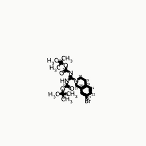 CC(C)(C)OC(=O)/N=C(\NC(=O)OC(C)(C)C)N1CCc2ccc(Br)cc2C1